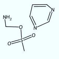 CS(=O)(=O)OCN.c1cncnc1